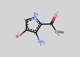 COC(=O)c1[nH]cc(Br)c1N